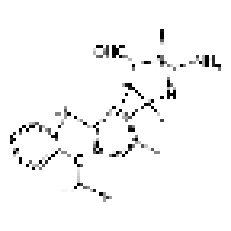 CN1C(N)=NC(C)(c2cc(Nc3ccccc3OC(F)F)ccc2F)C(C)(C)C1C=O